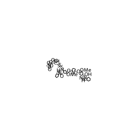 COc1cc2c(cc1OCc1cccc(COc3cc4c(cc3OC)C(=O)N3c5ccccc5C[C@H]3CN4CC(C)(C)SSCCC(C(=O)ON3C(=O)CCC3=O)[SH](=O)=O)n1)N=C[C@@H]1Cc3ccccc3N1C2O